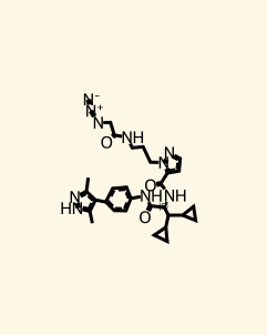 Cc1n[nH]c(C)c1-c1ccc(NC(=O)[C@@H](NC(=O)c2ccnn2CCCNC(=O)CN=[N+]=[N-])C(C2CC2)C2CC2)cc1